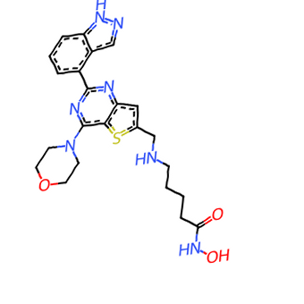 O=C(CCCCNCc1cc2nc(-c3cccc4[nH]ncc34)nc(N3CCOCC3)c2s1)NO